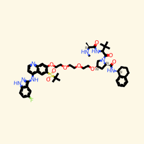 CN[C@@H](C)C(=O)NC(C(=O)N1C[C@@H](OCCOCCOCCOc2cc3nccc(Nc4n[nH]c5ccc(F)cc45)c3cc2S(=O)(=O)C(C)(C)C)C[C@H]1C(=O)N[C@H]1CCCc2ccccc21)C(C)(C)C